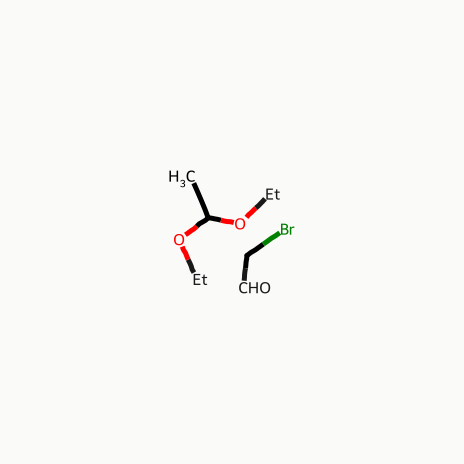 CCOC(C)OCC.O=CCBr